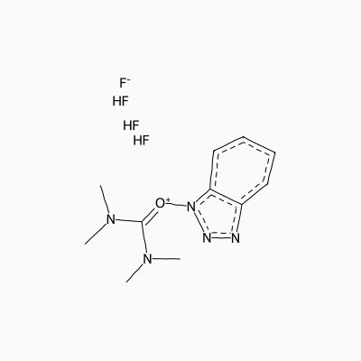 CN(C)C(=[O+]n1nnc2ccccc21)N(C)C.F.F.F.[F-]